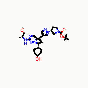 COC[C@H](C)Nc1ncc2c(-c3cnn([C@@H]4CCN(C(=O)OC(C)(C)C)C4)c3)cc([C@H]3CC[C@H](O)CC3)n2n1